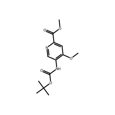 COC(=O)c1cc(OC)c(NC(=O)OC(C)(C)C)cn1